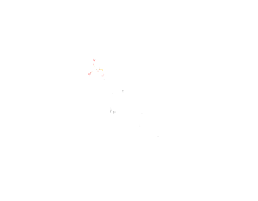 CCCCCCCCCCCCO[SH](=O)=O.[KH]